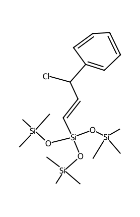 C[Si](C)(C)O[Si](C=CC(Cl)c1ccccc1)(O[Si](C)(C)C)O[Si](C)(C)C